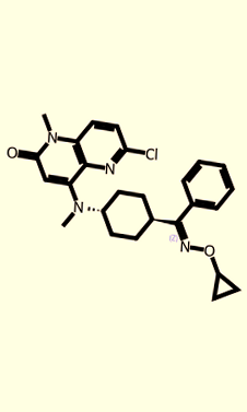 Cn1c(=O)cc(N(C)[C@H]2CC[C@H](/C(=N/OC3CC3)c3ccccc3)CC2)c2nc(Cl)ccc21